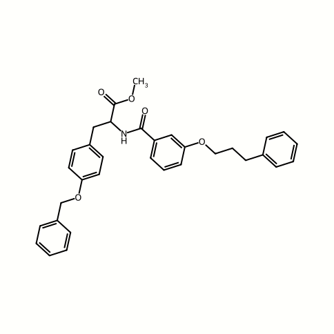 COC(=O)C(Cc1ccc(OCc2ccccc2)cc1)NC(=O)c1cccc(OCCCc2ccccc2)c1